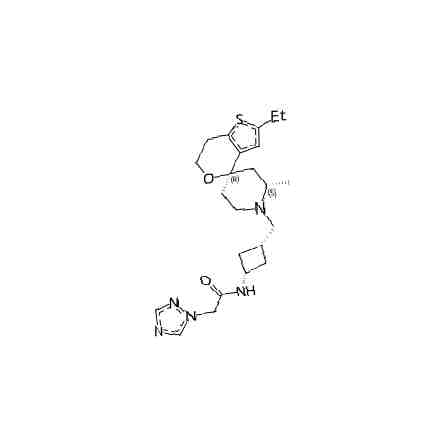 CCc1cc2c(s1)CCO[C@@]21CCN(C[C@H]2C[C@@H](NC(=O)Cn3cncn3)C2)[C@@H](C)C1